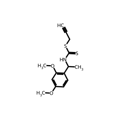 C#CCSC(=S)NC(C)c1ccc(OC)cc1OC